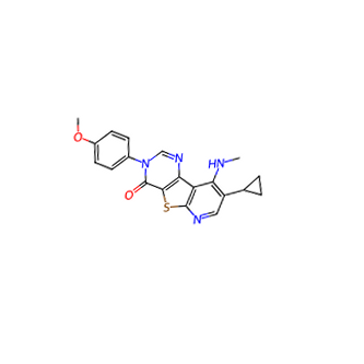 CNc1c(C2CC2)cnc2sc3c(=O)n(-c4ccc(OC)cc4)cnc3c12